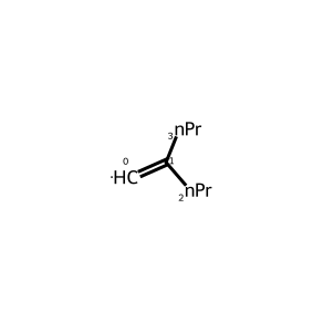 [CH]=C(CCC)CCC